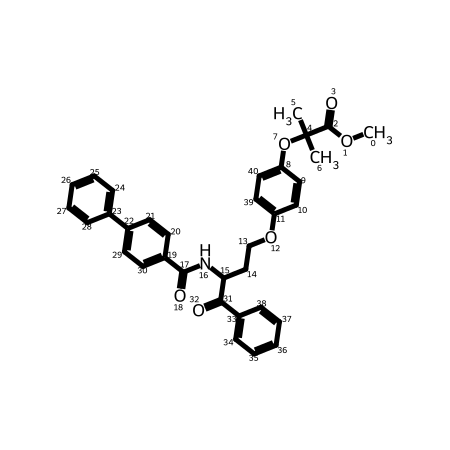 COC(=O)C(C)(C)Oc1ccc(OCCC(NC(=O)c2ccc(-c3ccccc3)cc2)C(=O)c2ccccc2)cc1